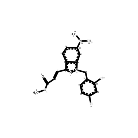 COC(=O)/C=C/c1nn(Cc2ccc(Cl)cc2Cl)c2cc(N(C)C)ccc12